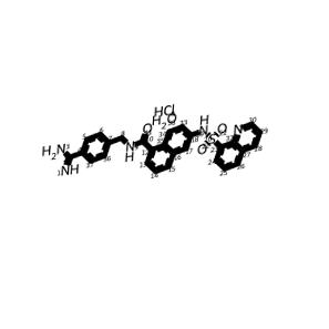 Cl.N=C(N)c1ccc(CNC(=O)c2cccc3cc(NS(=O)(=O)c4cccc5cccnc45)ccc23)cc1.O